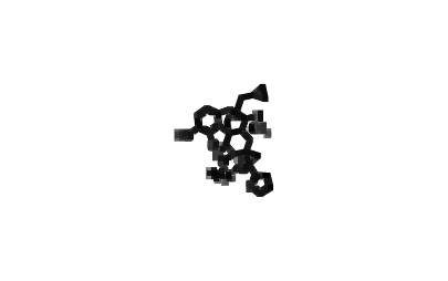 CC[C@]1(OC)[C@@H]2Oc3c(O)ccc4c3[C@@]23CCN(CC2CC2)[C@H](C4)[C@@]3(C)CC12C[C@@]2(O)c1cccs1